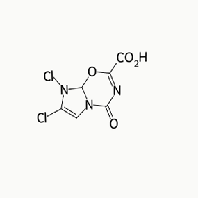 O=C(O)C1=NC(=O)N2C=C(Cl)N(Cl)C2O1